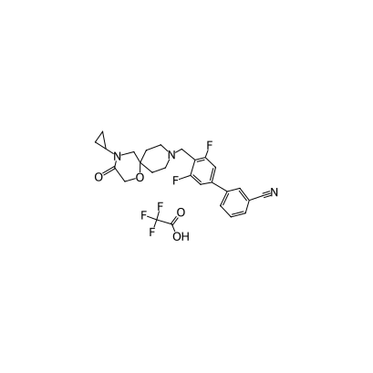 N#Cc1cccc(-c2cc(F)c(CN3CCC4(CC3)CN(C3CC3)C(=O)CO4)c(F)c2)c1.O=C(O)C(F)(F)F